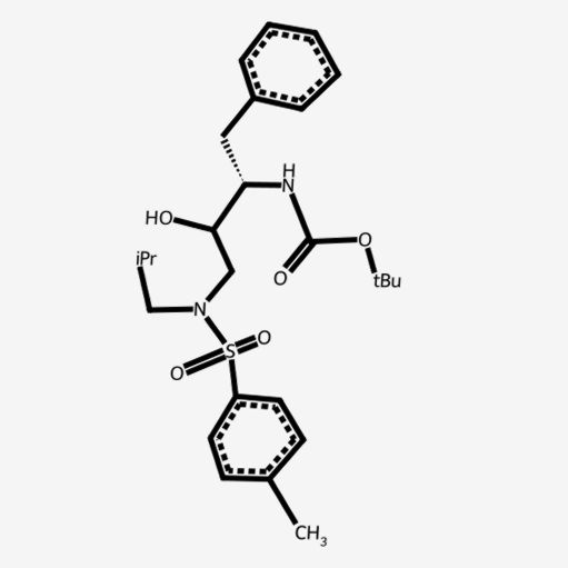 Cc1ccc(S(=O)(=O)N(CC(C)C)CC(O)[C@H](Cc2ccccc2)NC(=O)OC(C)(C)C)cc1